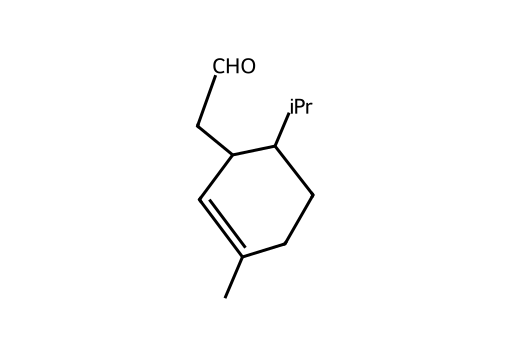 CC1=CC(CC=O)C(C(C)C)CC1